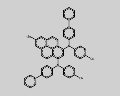 CC(C)(C)c1cc2ccc3c(N(c4ccc(C#N)cc4)c4ccc(-c5ccccc5)cc4)cc(N(c4ccc(C#N)cc4)c4ccc(-c5ccccc5)cc4)c4ccc(c1)c2c34